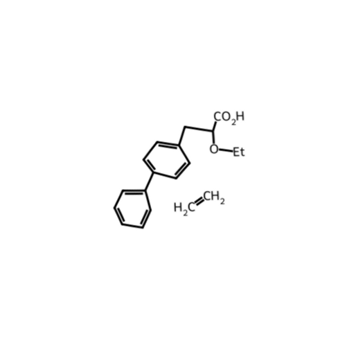 C=C.CCOC(Cc1ccc(-c2ccccc2)cc1)C(=O)O